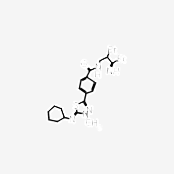 CCC(=N)C(CC)CNC(=O)c1ccc(-c2nn(C)c(=NC3CCCCC3)s2)cc1